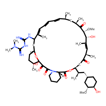 CO[C@@H]1C[C@H](C[C@@H](C)[C@@H]2CC(=O)[C@H](C)/C=C(\C)[C@@H](O)[C@@H](OC)C(=O)[C@H](C)C[C@H](C)/C=C/C=C/C=C(\C)C(NC(=N)NC(=N)N(C)C)C[C@@H]3CC[C@@H](C)[C@@](O)(O3)C(=O)C(=O)N3CCCC[C@H]3C(=O)O2)CC[C@H]1O